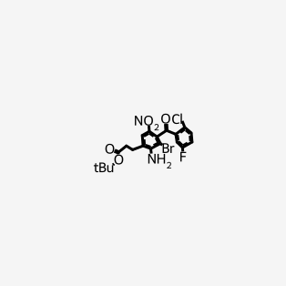 CC(C)(C)OC(=O)CCc1cc([N+](=O)[O-])c(C(=O)c2cc(F)ccc2Cl)c(Br)c1N